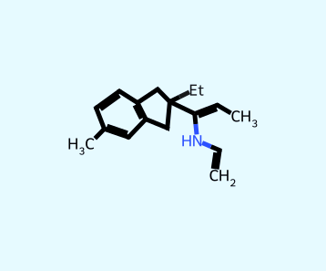 C=CN/C(=C\C)C1(CC)Cc2ccc(C)cc2C1